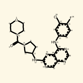 O=C(N1CCOCC1)N1CCC(Nc2ncc3ncnc(Nc4ccc(F)c(Cl)c4)c3n2)C1